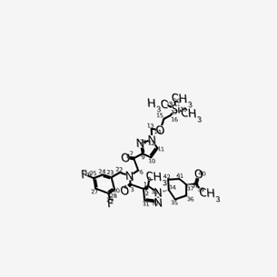 Cc1c(C(=O)N(CC(=O)c2ccn(COCC[Si](C)(C)C)n2)Cc2cc(F)cc(F)c2)cnn1[C@H]1CC[C@H](C(C)=O)CC1